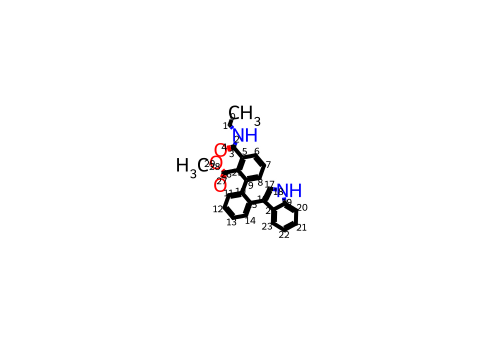 CCNC(=O)c1cccc(-c2ccccc2-c2c[nH]c3ccccc23)c1C(=O)OC